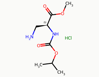 COC(=O)[C@H](CN)NC(=O)OC(C)C.Cl